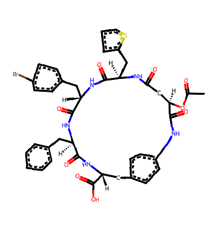 CC(=O)O[C@@H]1CC(=O)N[C@H](Cc2cccs2)C(=O)N[C@@H](Cc2ccc(Br)cc2)C(=O)N[C@H](Cc2ccccc2)C(=O)N[C@@H](C(=O)O)Cc2ccc(cc2)NC1=O